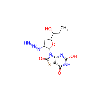 CCC(O)C1CC(N=[N+]=N)C(n2c(=O)sc3c(=O)[nH]c(O)nc32)O1